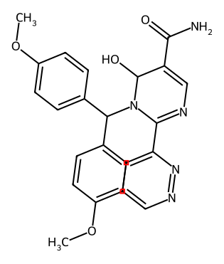 COc1ccc(C(c2ccc(OC)cc2)N2C(c3cccnn3)=NC=C(C(N)=O)C2O)cc1